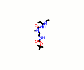 CC/N=C(\CC)NC(=O)N(C)CCNC(=O)OC(C)(C)C